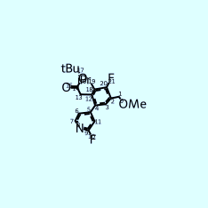 COCc1cc(-c2ccnc(F)c2)c(CC(=O)OC(C)(C)C)c(C(C)C)c1F